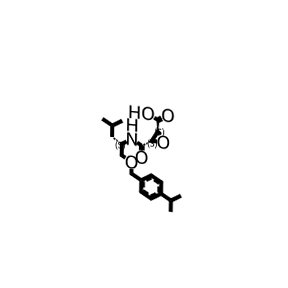 CC(C)C[C@@H](COCc1ccc(C(C)C)cc1)NC(=O)[C@H]1O[C@@H]1C(=O)O